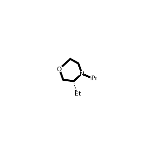 CC[C@@H]1COCCN1C(C)C